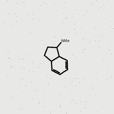 CNC1CCC2C=CC=CC21